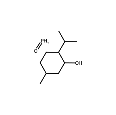 CC1CCC(C(C)C)C(O)C1.O=[PH3]